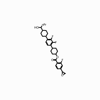 CCCC(O)C1CCC(c2ccc(C3CCC(OC(=O)c4ccc(C5CO5)cc4F)CC3)c(F)c2F)CC1